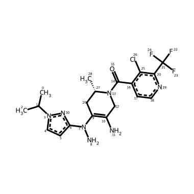 CC(C)n1ccc(N(N)C2=C(N)CN(C(=O)c3ccnc(C(F)(F)F)c3Cl)[C@@H](C)C2)n1